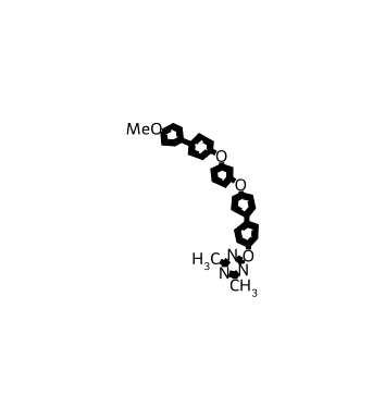 COc1ccc(-c2ccc(Oc3cccc(Oc4ccc(-c5ccc(Oc6nc(C)nc(C)n6)cc5)cc4)c3)cc2)cc1